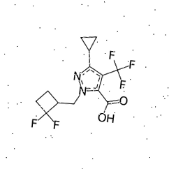 O=C(O)c1c(C(F)(F)F)c(C2CC2)nn1CC1CCC1(F)F